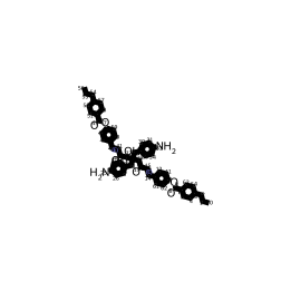 CCCC1CCC(C(=O)Oc2ccc(/C=C/C(=O)CC(Cc3ccc(N)cc3)(Cc3ccc(N)cc3)C(O)(O)C(=O)/C=C/c3ccc(OC(=O)C4CCC(CCC)CC4)cc3)cc2)CC1